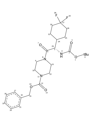 CC(C)(C)OC(=O)N[C@H](C(=O)N1CCN(C(=O)OCc2ccccc2)CC1)C1CCC(F)(F)CC1